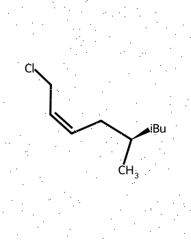 CCC(C)[C@@H](C)C/C=C\CCl